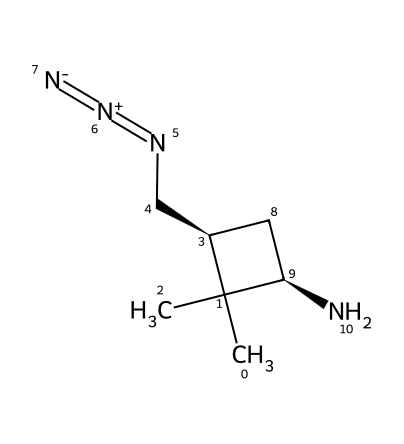 CC1(C)[C@@H](CN=[N+]=[N-])C[C@H]1N